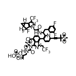 CC(CNC(=O)N(c1nn(CC(F)(F)F)c2c(-c3ccc(C#CC(C)(C)S(C)(=O)=O)nc3C(Cc3cc(F)cc(F)c3)NC(=O)Cn3nc(C(F)(F)F)c4c3C(F)(F)[C@@H]3C[C@H]43)ccc(Cl)c12)S(C)(=O)=O)OP(=O)(O)O